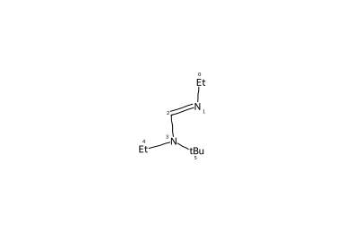 CCN=CN(CC)C(C)(C)C